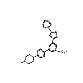 CN1CCC(c2ccc(-c3cc(C(=O)O)cc(-n4cc(-c5ccccc5)nn4)c3)cc2)CC1